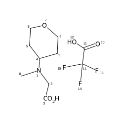 CN(CC(=O)O)C1CCOCC1.O=C(O)C(F)(F)F